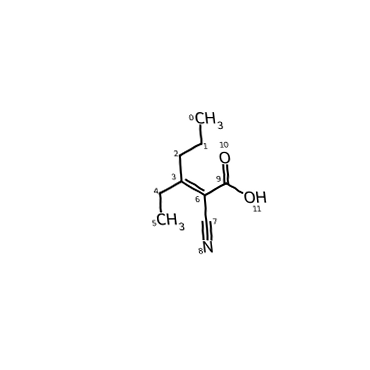 CCCC(CC)=C(C#N)C(=O)O